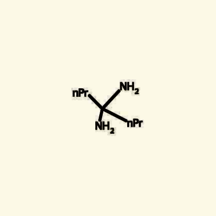 CCCC(N)(N)CCC